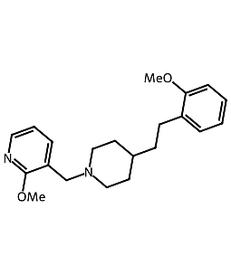 COc1ccccc1CCC1CCN(Cc2cccnc2OC)CC1